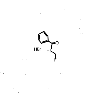 Br.O=C(NCF)c1ccccc1